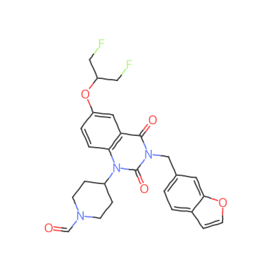 O=CN1CCC(n2c(=O)n(Cc3ccc4ccoc4c3)c(=O)c3cc(OC(CF)CF)ccc32)CC1